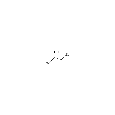 CCC[CH2][Al].[HH]